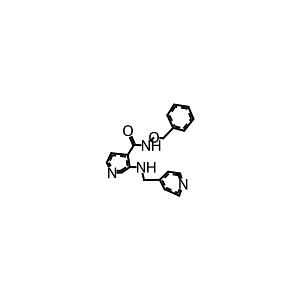 O=C(NOCc1ccccc1)c1ccncc1NCc1ccncc1